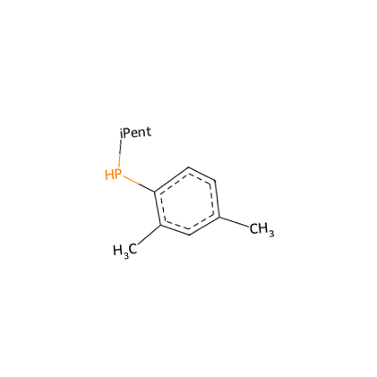 CCCC(C)Pc1ccc(C)cc1C